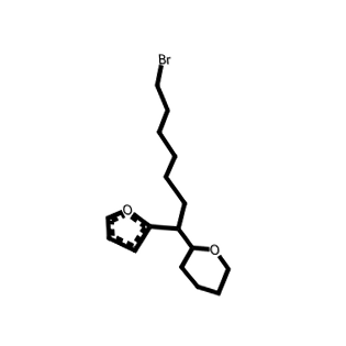 BrCCCCCCC(c1ccco1)C1CCCCO1